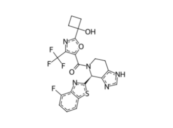 O=C(c1oc(C2(O)CCC2)nc1C(F)(F)F)N1CCc2[nH]cnc2[C@H]1c1nc2c(F)cccc2s1